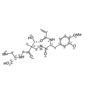 C=CC(=O)NC(Cc1ccc(OC)c(Cl)c1)C(=O)NCC(C)(CO)C(=O)CN[C@@H](CC(C)(C)C)C(=O)O